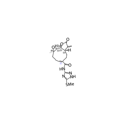 C=C1C(=O)O[C@H]2[C@H]1CC/C(C(=O)Nc1n[nH]c(SC)n1)=C\CC[C@@]1(C)O[C@@H]21